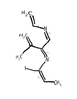 C=C\N=C/C(=N/C(I)=C\C)C(=C)C